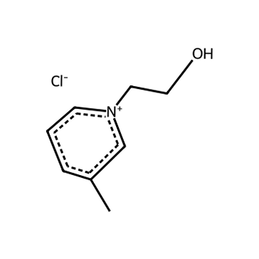 Cc1ccc[n+](CCO)c1.[Cl-]